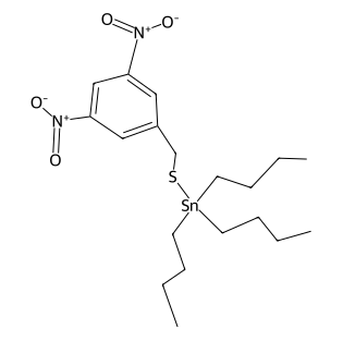 CCC[CH2][Sn]([CH2]CCC)([CH2]CCC)[S]Cc1cc([N+](=O)[O-])cc([N+](=O)[O-])c1